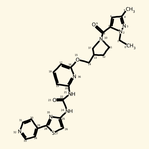 CCn1nc(C)cc1C(=O)N1CCC(COc2cccc(NC(=O)Nc3csc(-c4ccncc4)n3)n2)C1